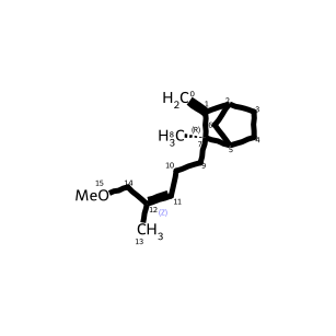 C=C1C2CCC(C2)[C@@]1(C)CC/C=C(/C)COC